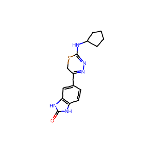 O=c1[nH]c2ccc(C3=NN=C(NC4CCCC4)SC3)cc2[nH]1